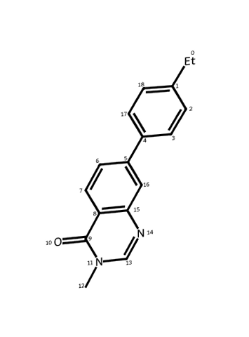 CCc1ccc(-c2ccc3c(=O)n(C)cnc3c2)cc1